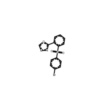 O=S(=O)(c1ccc(Br)cc1)c1ccccc1-c1nnco1